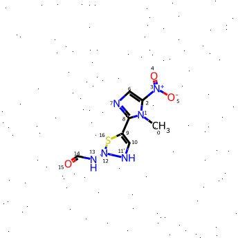 Cn1c([N+](=O)[O-])cnc1C1=CNN(NC=O)S1